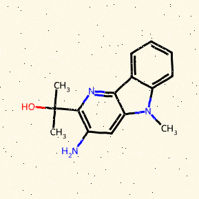 Cn1c2ccccc2c2nc(C(C)(C)O)c(N)cc21